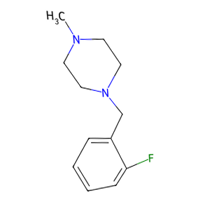 CN1CCN(Cc2ccccc2F)CC1